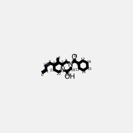 C=C/C=C\C1=C(C)C2CN(C(=O)C3CCCCC3)CC(O)N2CC1